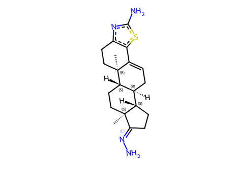 C[C@]12CCc3nc(N)sc3C1=CC[C@@H]1[C@@H]2CC[C@]2(C)/C(=N/N)CC[C@@H]12